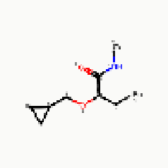 CC(C)NC(=O)C(CC(C)(C)C)OCC1CC1